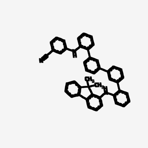 CC1(C)c2ccccc2-c2cccc(Nc3ccccc3-c3cccc(-c4cccc(-c5ccccc5Nc5cccc(C#N)c5)c4)c3)c21